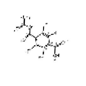 CC(=O)OC(=O)c1c(F)c(F)c(C(=O)O)c(F)c1F